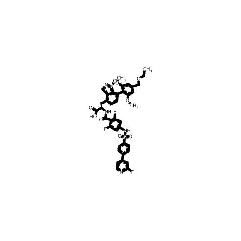 CCOCc1cc(OC)c(-c2ccc(C[C@@H](NC(=O)c3c(F)cc(NS(=O)(=O)c4ccc(-c5ccnc(F)c5)cc4)cc3F)C(=O)O)c3cnn(C)c23)c(OC)c1